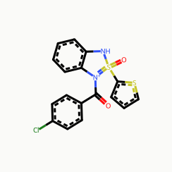 O=C(c1ccc(Cl)cc1)[N+]1=S(=O)(c2cccs2)Nc2ccccc21